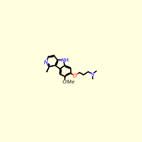 COc1cc2c(cc1OCCCN(C)C)[nH]c1ccnc(C)c12